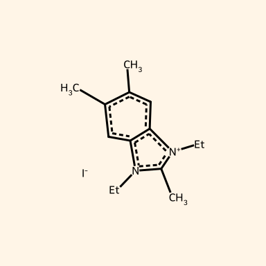 CCn1c(C)[n+](CC)c2cc(C)c(C)cc21.[I-]